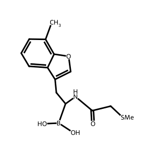 CSCC(=O)NC(Cc1coc2c(C)cccc12)B(O)O